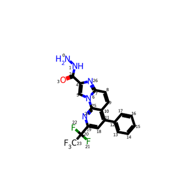 NNC(=O)c1cn2c(ccc3c(-c4ccccc4)cc(C(F)(F)C(F)(F)F)nc32)n1